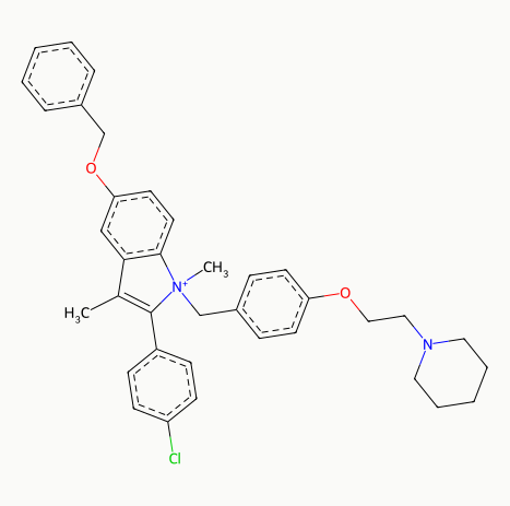 CC1=C(c2ccc(Cl)cc2)[N+](C)(Cc2ccc(OCCN3CCCCC3)cc2)c2ccc(OCc3ccccc3)cc21